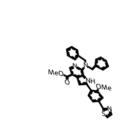 COC(=O)c1cnc(N(Cc2ccccc2)Cc2ccccc2)c2[nH]c(-c3ccc(-c4nccs4)cc3OC)cc12